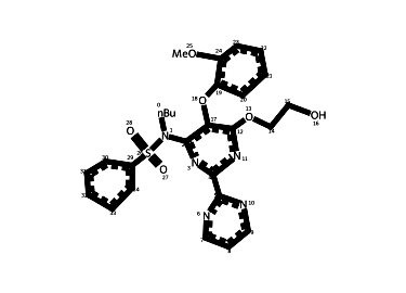 CCCCN(c1nc(-c2ncccn2)nc(OCCO)c1Oc1ccccc1OC)S(=O)(=O)c1ccccc1